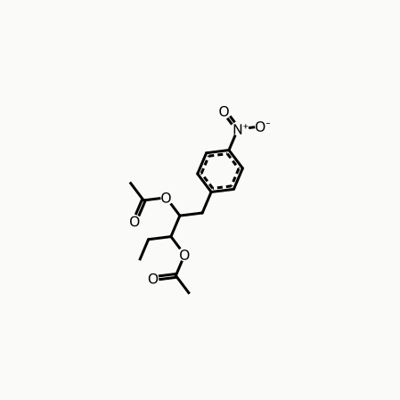 CCC(OC(C)=O)C(Cc1ccc([N+](=O)[O-])cc1)OC(C)=O